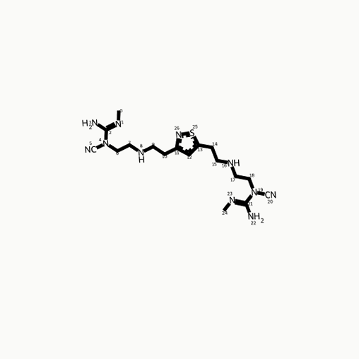 CN=C(N)N(C#N)CCNCCc1cc(CCNCCN(C#N)C(N)=NC)sn1